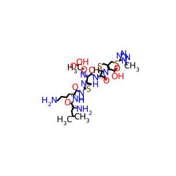 CO/N=C(\C(=O)N[C@@H]1C(=O)N2C(C(=O)O)=C(CSc3nnnn3C)CS[C@@H]12)c1csc(NC(=O)[C@H](CCCCN)NC(=O)[C@@H](N)CC(C)C)n1.O=CO